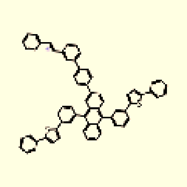 C1=CC(c2c3ccccc3c(-c3cccc(-c4ccc(-c5ccccc5)s4)c3)c3ccc(-c4ccc(-c5cccc(/C=C/c6ccccc6)c5)cc4)cc23)=CC(c2ccc(-c3ccccc3)s2)C1